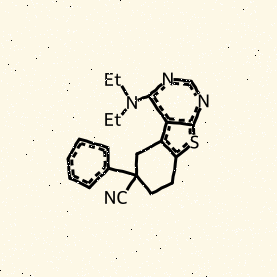 CCN(CC)c1ncnc2sc3c(c12)CC(C#N)(c1ccccc1)CC3